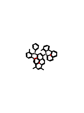 Cc1cccc(-c2ccccc2)c1N(c1ccccc1)c1cc(N(c2ccccc2)c2c(C)cccc2-c2ccccc2)c2ccc3c(C)cc(C)c4ccc1c2c43